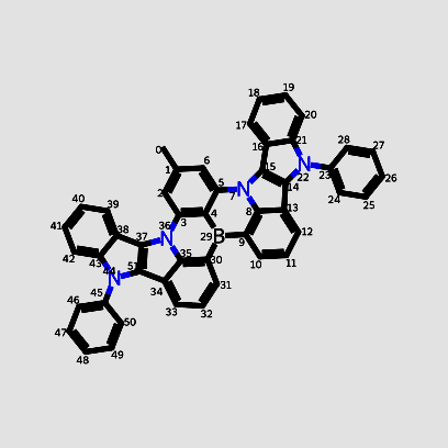 Cc1cc2c3c(c1)-n1c4c(cccc4c4c1c1ccccc1n4-c1ccccc1)B3c1cccc3c1n-2c1c2ccccc2n(-c2ccccc2)c31